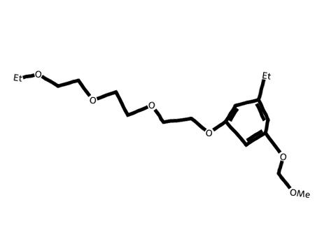 CCOCCOCCOCCOc1cc(CC)cc(OCOC)c1